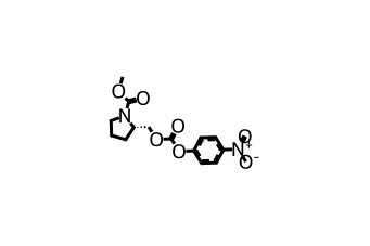 COC(=O)N1CCC[C@H]1COC(=O)Oc1ccc([N+](=O)[O-])cc1